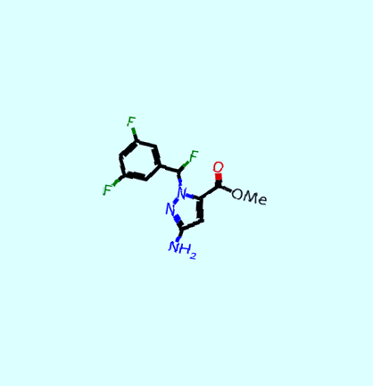 COC(=O)c1cc(N)nn1C(F)c1cc(F)cc(F)c1